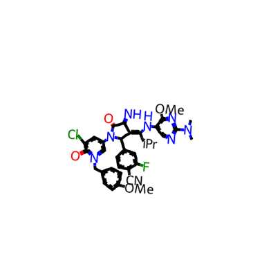 COc1ccc(Cn2cc(N3C(=O)C(=N)/C(=C(\Nc4cnc(N(C)C)nc4OC)C(C)C)C3c3ccc(C#N)c(F)c3)cc(Cl)c2=O)cc1